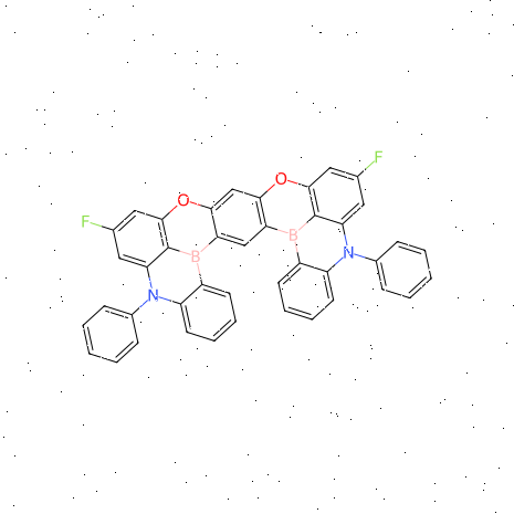 Fc1cc2c3c(c1)N(c1ccccc1)c1ccccc1B3c1cc3c(cc1O2)Oc1cc(F)cc2c1B3c1ccccc1N2c1ccccc1